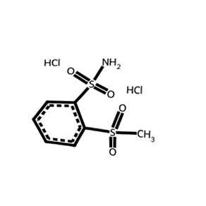 CS(=O)(=O)c1ccccc1S(N)(=O)=O.Cl.Cl